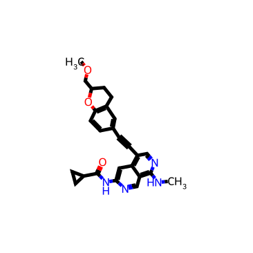 CNc1ncc(C#Cc2ccc3c(c2)CCC(COC)O3)c2cc(NC(=O)C3CC3)ncc12